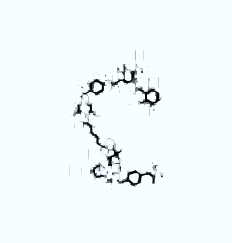 Cc1ncsc1-c1ccc(CNC(=O)[C@@H]2C[C@@H](O)CN2C(=O)[C@@H](NC(=O)CCCCC(=O)N2[C@H](C)CN(C(=O)c3ccc(NC(=O)c4cc(O[C@H](C)c5c(Cl)ccc(F)c5Cl)c(N)nn4)cc3)C[C@@H]2C)C(C)(C)C)cc1